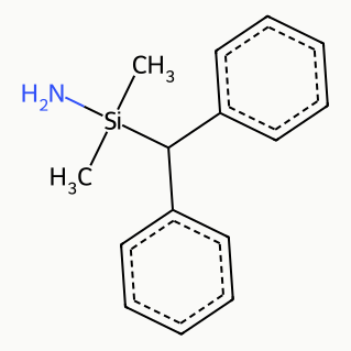 C[Si](C)(N)C(c1ccccc1)c1ccccc1